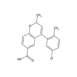 Cc1ccc(Cl)cc1C1=CC(C)Oc2ccc(C(=O)O)cc21